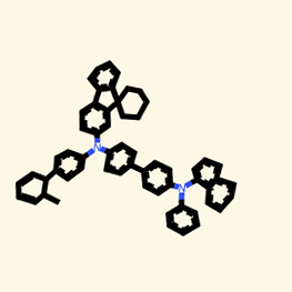 CC1C=CC=CC1c1ccc(N(c2ccc(-c3ccc(N(c4ccccc4)c4cccc5ccccc45)cc3)cc2)c2ccc3c(c2)C2(CCCCC2)c2ccccc2-3)cc1